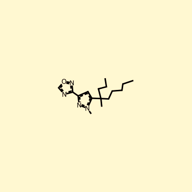 CCCCCC(C)(CCC)c1cc(-c2ncon2)nn1C